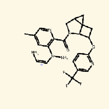 Cc1cnc(C(=O)N2CC3CC34CC(Oc3ccc(C(F)(F)F)cn3)C24)c(N(N)/C=C\N)c1